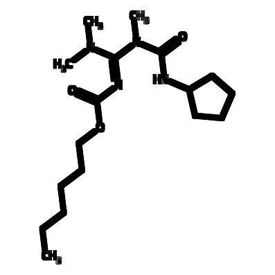 CCCCCCOC(=O)N=C(N(C)C)N(C)C(=O)NC1CCCC1